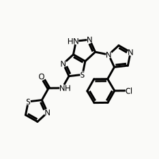 O=C(Nc1nc2[nH]nc(-n3cncc3-c3ccccc3Cl)c2s1)c1nccs1